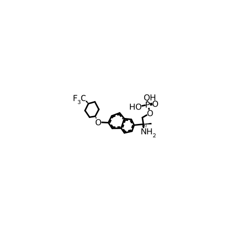 C[C@](N)(COP(=O)(O)O)c1ccc2cc(O[C@H]3CC[C@H](C(F)(F)F)CC3)ccc2c1